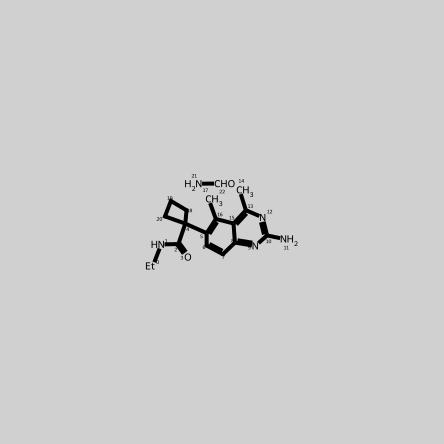 CCNC(=O)C1(c2ccc3nc(N)nc(C)c3c2C)CCC1.NC=O